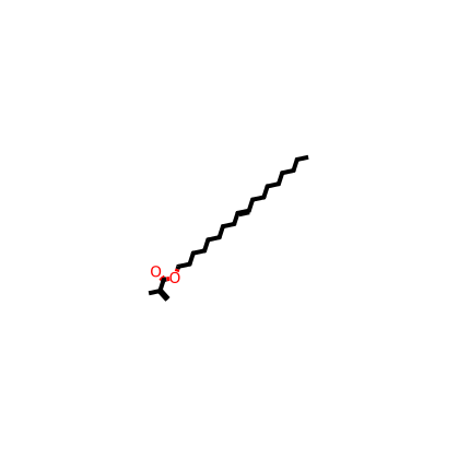 C=C(C)C(=O)OCCCCCCCC/C=C/CCCCCCCC